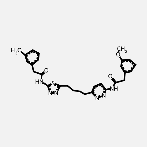 COc1cccc(CC(=O)Nc2ccc(CCCCc3nnc(NC(=O)Cc4cccc(C)c4)s3)nn2)c1